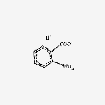 Nc1ccccc1C(=O)[O-].[Li+]